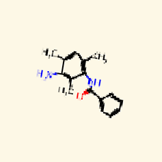 Cc1cc(C)c(NC(=O)c2ccccc2)c(C)c1N